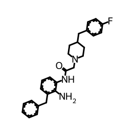 Nc1c(Cc2ccccc2)cccc1NC(=O)CN1CCC(Cc2ccc(F)cc2)CC1